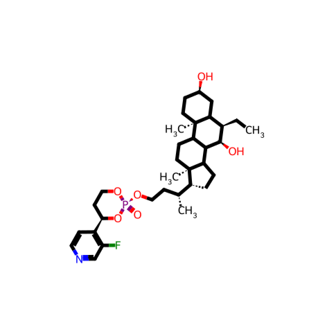 CC[C@@H]1C2C[C@H](O)CC[C@]2(C)C2CC[C@@]3(C)C(CC[C@@H]3[C@H](C)CCO[P@@]3(=O)OCC[C@H](c4ccncc4F)O3)C2[C@@H]1O